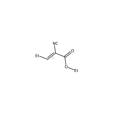 [C-]#[N+]/C(=C\CC)C(=O)OCC